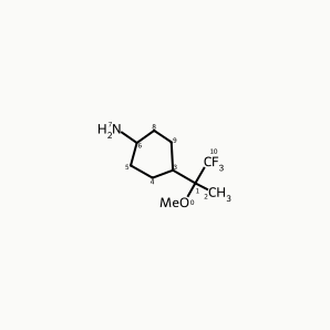 COC(C)(C1CCC(N)CC1)C(F)(F)F